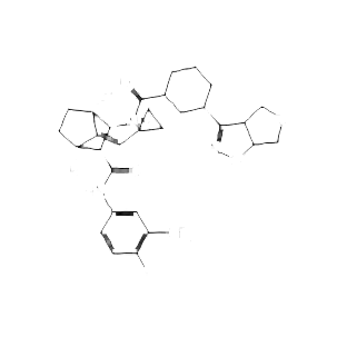 O=C(N[C@H]1[C@@H](C(=O)Nc2ccc(F)c(C(F)(F)F)c2)[C@H]2CC[C@@H]1/C2=C\C1CC1)C1CCC[C@@H](C2=NOC3COCC23)C1